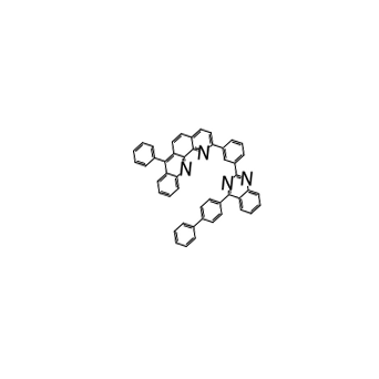 c1ccc(-c2ccc(-c3nc(-c4cccc(-c5ccc6ccc7c(-c8ccccc8)c8ccccc8nc7c6n5)c4)nc4ccccc34)cc2)cc1